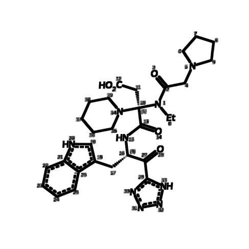 CCN(C(=O)CN1CCCC1)[C@@](CC(=O)O)(C(=O)N[C@@H](Cc1c[nH]c2ccccc12)C(=O)c1nnn[nH]1)N1CCCCC1